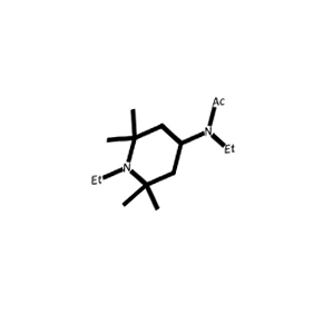 CCN(C(C)=O)C1CC(C)(C)N(CC)C(C)(C)C1